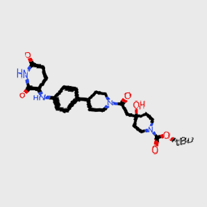 CC(C)(C)OC(=O)N1CCC(O)(CC(=O)N2CCC(c3ccc(NC4CCC(=O)NC4=O)cc3)CC2)CC1